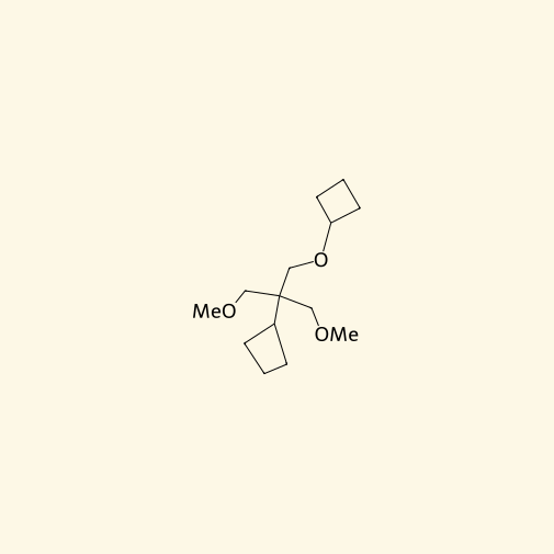 COCC(COC)(COC1CCC1)C1CCC1